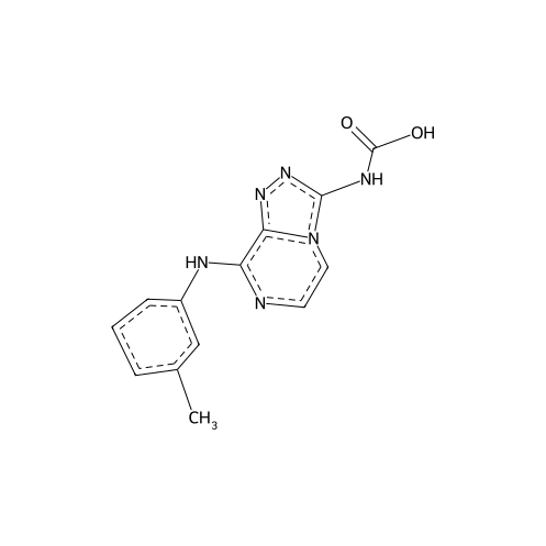 Cc1cccc(Nc2nccn3c(NC(=O)O)nnc23)c1